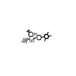 Cc1cc(C)c(C2CCN(C(=O)[C@H]3NCC4(CC4)C[C@@H]3C(=O)NO)CC2)cc1C